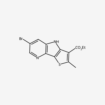 CCOC(=O)c1c(C)sc2c1[nH]c1cc(Br)cnc12